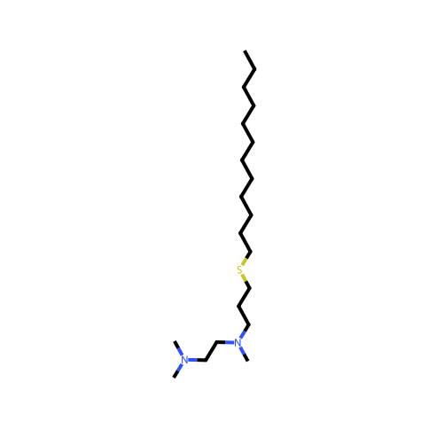 CCCCCCCCCCCCSCCCN(C)CCN(C)C